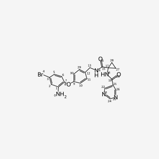 Nc1cc(Br)ccc1Oc1ccc(CNC(=O)C2(NC(=O)c3cncnc3)CC2)cc1